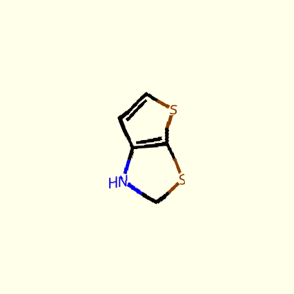 c1cc2c(s1)SCN2